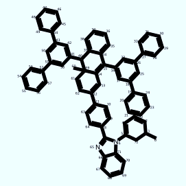 CC1C=CC=C(n2c(-c3ccc(C4=CC5=C(c6cc(-c7ccccc7)cc(-c7ccccc7)c6)c6ccccc6C(c6cc(-c7ccccc7)cc(-c7ccccc7)c6)C5(C)C=C4)cc3)nc3ccccc32)C1